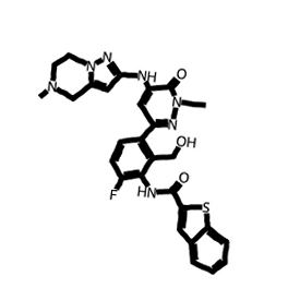 CN1CCn2nc(Nc3cc(-c4ccc(F)c(NC(=O)c5cc6ccccc6s5)c4CO)nn(C)c3=O)cc2C1